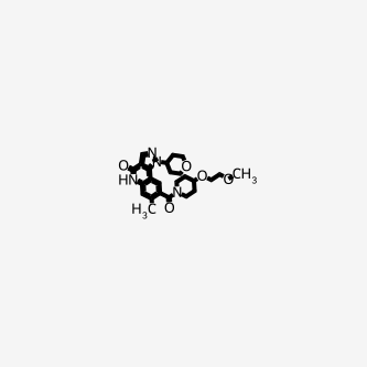 COCCOC1CCN(C(=O)c2cc3c(cc2C)[nH]c(=O)c2cnn(C4CCOCC4)c23)CC1